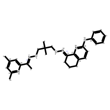 C/C(=N\OCC(C)(C)CO/N=C1\CCCc2ccc(Oc3ccccc3)nc21)c1cc(C)cc(C)n1